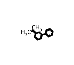 CC(C)=C1[CH]C(c2[c]cccc2)=CC=C1